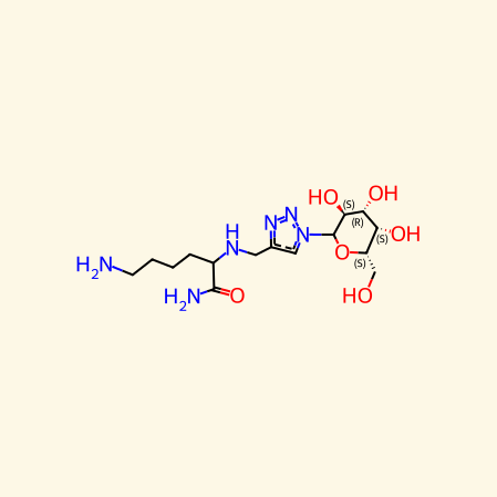 NCCCCC(NCc1cn(C2O[C@@H](CO)[C@@H](O)[C@@H](O)[C@@H]2O)nn1)C(N)=O